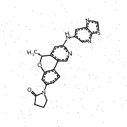 C[C@@H]1Oc2cc(N3CCCC3=O)ccc2-c2cnc(Nc3cnc4scnc4c3)cc21